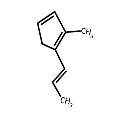 CC=CC1=C(C)C=CC1